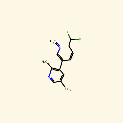 C=N/C=C(\C=C/CC(F)F)c1cc(C)cnc1C